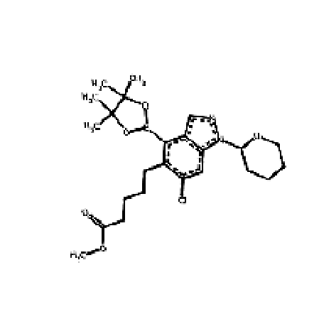 COC(=O)CCCCc1c(Cl)cc2c(cnn2C2CCCCO2)c1B1OC(C)(C)C(C)(C)O1